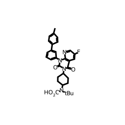 Cc1ccc(-c2cccc(-n3c(=O)n(C4CCC(N(C(=O)O)C(C)(C)C)CC4)c(=O)c4cc(F)cnc43)c2)cc1